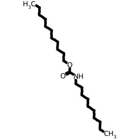 CCCCCCCCCCCOC(=O)NCCCCCCCCCC